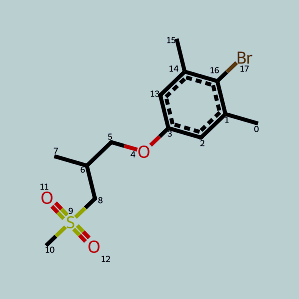 Cc1cc(OCC(C)CS(C)(=O)=O)cc(C)c1Br